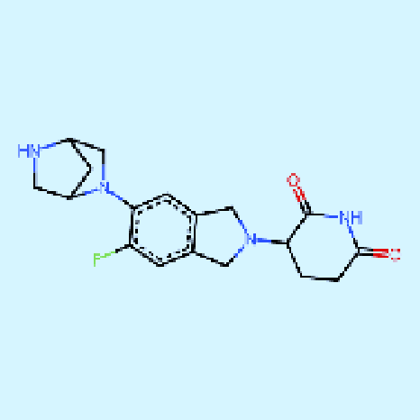 O=C1CCC(N2Cc3cc(F)c(N4CC5CC4CN5)cc3C2)C(=O)N1